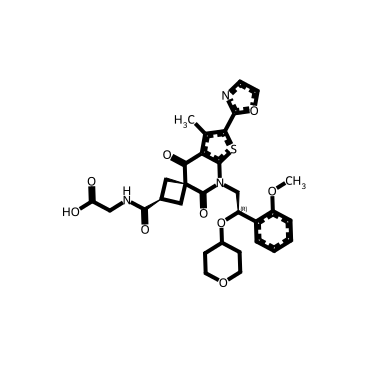 COc1ccccc1[C@H](CN1c2sc(-c3ncco3)c(C)c2C(=O)[C@]2(C[C@H](C(=O)NCC(=O)O)C2)C1=O)OC1CCOCC1